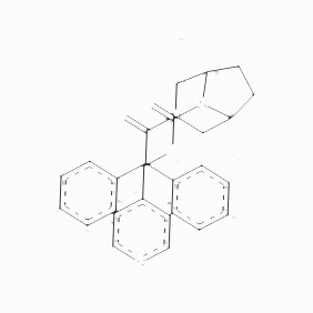 O=C(O)[C@@H]1[C@H]2CC[C@@H](CN1C(=O)C(c1ccccc1)c1ccccc1)N2C(=O)OCc1ccncc1